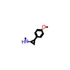 CN[C@@H]1CC1c1ccc(OC)cc1